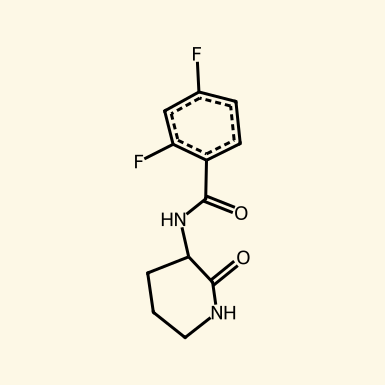 O=C(NC1CCCNC1=O)c1ccc(F)cc1F